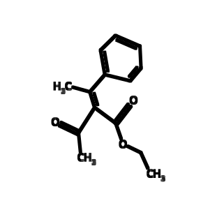 CCOC(=O)C(C(C)=O)=C(C)c1ccccc1